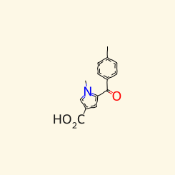 Cc1ccc(C(=O)c2cc(C(=O)O)cn2C)cc1